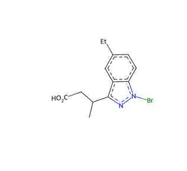 CCc1ccc2c(c1)c(C(C)CC(=O)O)nn2Br